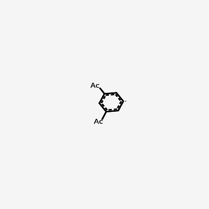 CC(=O)c1c[c]cc(C(C)=O)c1